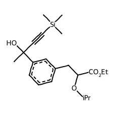 CCOC(=O)C(Cc1cccc(C(C)(O)C#C[Si](C)(C)C)c1)OC(C)C